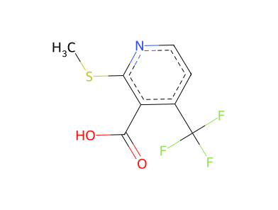 CSc1nccc(C(F)(F)F)c1C(=O)O